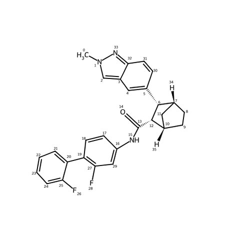 Cn1cc2cc([C@@H]3[C@@H]4CC[C@@H](C4)[C@@H]3C(=O)Nc3ccc(-c4ccccc4F)c(F)c3)ccc2n1